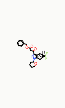 C[C@@]12Cc3c(c(C(=O)CC(=O)OCc4ccccc4)nn3C3CCCCO3)C[C@@H]1C2(F)F